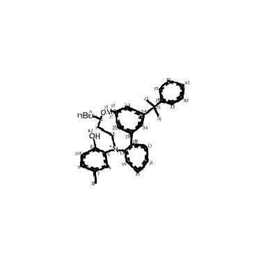 CCCCC(CCN(c1cc(C)ccc1O)c1ccccc1-c1cc(C)cc(C(C)(C)c2ccccc2)c1)OC